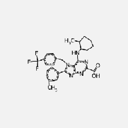 Cc1cccc(-c2nc3nc(C(=O)O)nc(NC4CCCCC4C)c3n2Cc2ccc(C(F)(F)F)cc2)c1